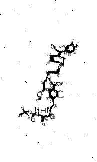 COCCN(CCN1CCC(C(=O)c2ccc(F)cc2)CC1)C(=O)c1ccc(CNC(=O)C(C)NC(=O)OC(C)(C)C)cc1